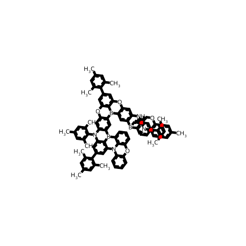 Cc1cc(C)c(-c2cc3c4c(c2)Oc2cc5c(cc2B4c2cc4c(cc2O3)Nc2cc(-c3c(C)cc(C)cc3C)cc3c2B4c2cccc4c2N3c2ccccc2O4)B2c3cccc4c3N(c3ccccc3O4)c3cc(-c4c(C)cc(C)cc4C)cc(c32)N5c2c(C)cc(C)cc2C)c(C)c1